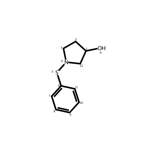 OC1CCN(Sc2ccccc2)C1